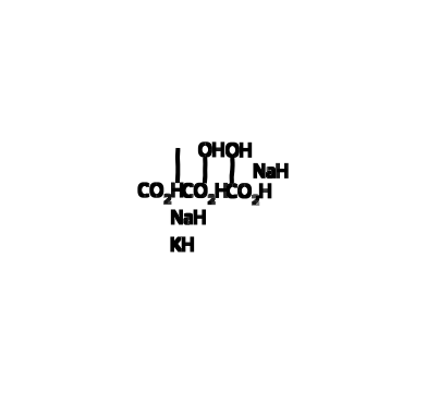 CC(=O)O.O=C(O)O.O=C(O)O.[KH].[NaH].[NaH]